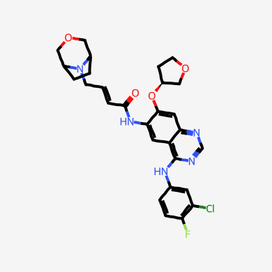 O=C(/C=C/CN1C2CCC1COC2)Nc1cc2c(Nc3ccc(F)c(Cl)c3)ncnc2cc1O[C@H]1CCOC1